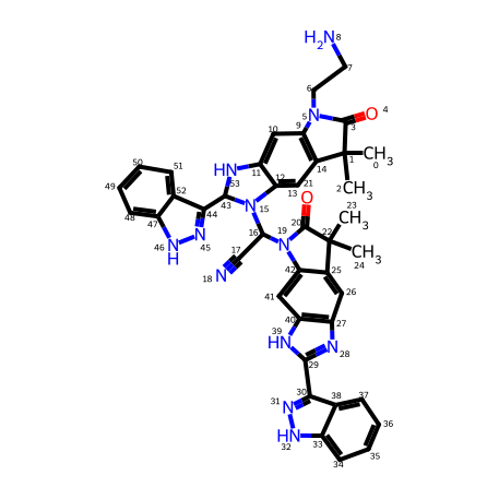 CC1(C)C(=O)N(CCN)c2cc3c(cc21)N(C(C#N)N1C(=O)C(C)(C)c2cc4nc(-c5n[nH]c6ccccc56)[nH]c4cc21)C(c1n[nH]c2ccccc12)N3